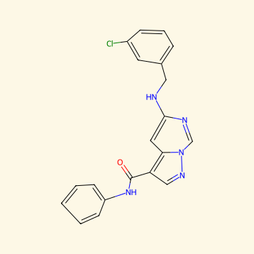 O=C(Nc1ccccc1)c1cnn2cnc(NCc3cccc(Cl)c3)cc12